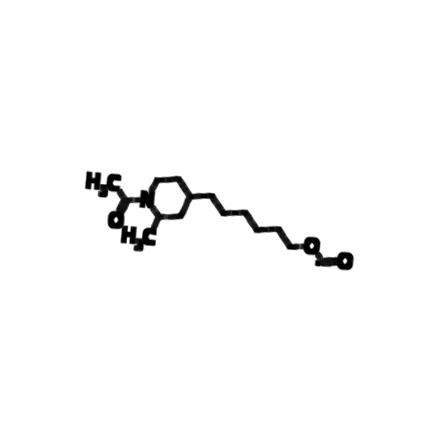 CC(=O)N1CCC(CCCCCCO[C]=O)CC1C